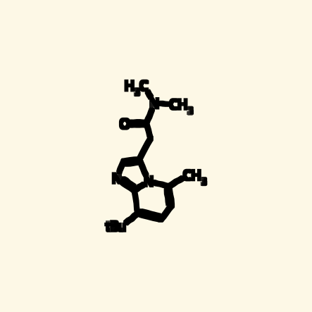 Cc1ccc(C(C)(C)C)c2ncc(CC(=O)N(C)C)n12